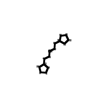 C1CCC(CCOCCC2CCCC2)C1